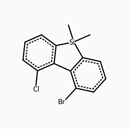 C[Si]1(C)c2cccc(Cl)c2-c2c(Br)cccc21